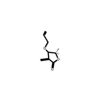 C=CCOC1C(=C)C(=O)O[C@H]1C